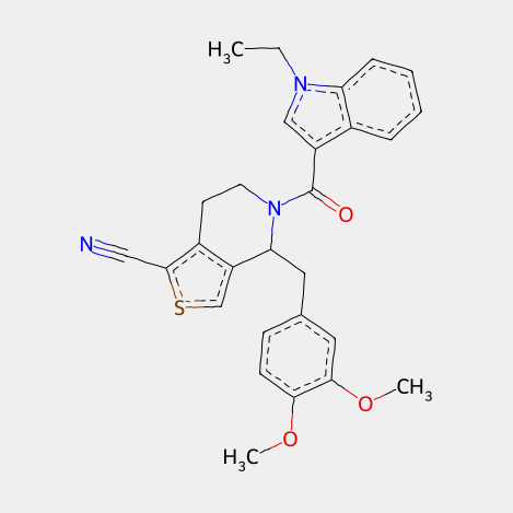 CCn1cc(C(=O)N2CCc3c(csc3C#N)C2Cc2ccc(OC)c(OC)c2)c2ccccc21